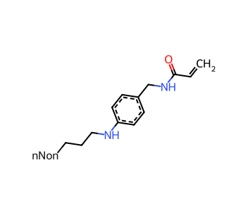 C=CC(=O)NCc1ccc(NCCCCCCCCCCCC)cc1